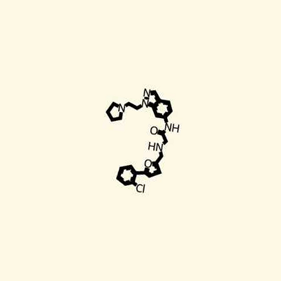 O=C(CNCc1ccc(-c2ccccc2Cl)o1)Nc1ccc2cnn(CCN3CCCC3)c2c1